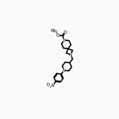 CC(C)(C)OC(=O)N1CCC2(CC1)CN(CC1CCN(c3ccc([N+](=O)[O-])cc3)CC1)C2